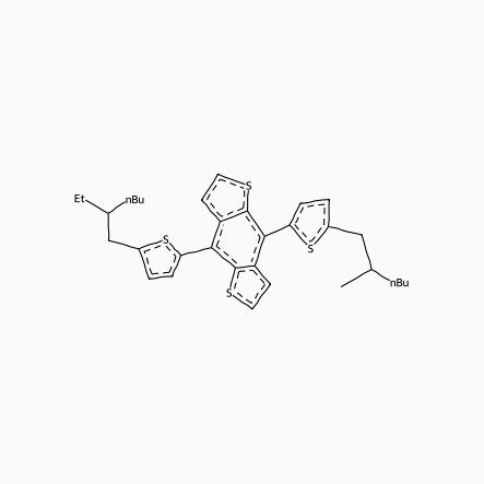 CCCCC(C)Cc1ccc(-c2c3ccsc3c(-c3ccc(CC(CC)CCCC)s3)c3ccsc23)s1